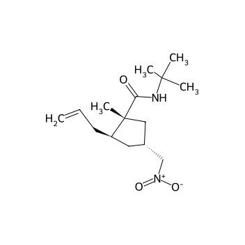 C=CC[C@@H]1C[C@@H](C[N+](=O)[O-])C[C@@]1(C)C(=O)NC(C)(C)C